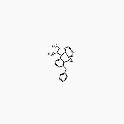 CCC(C)[C](c1ccncc1)c1cccc(Cc2ccccc2)c1C1CC1